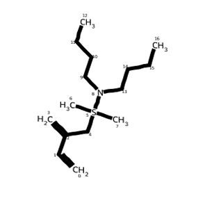 C=CC(=C)CS(C)(C)N(CCCC)CCCC